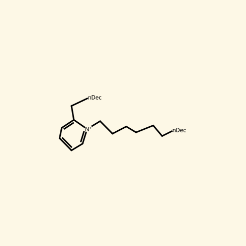 CCCCCCCCCCCCCCCC[n+]1ccccc1CCCCCCCCCCC